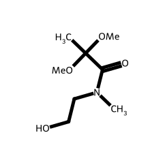 COC(C)(OC)C(=O)N(C)CCO